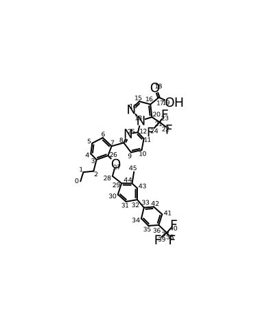 CCCc1cccc(-c2cccc(-n3ncc(C(=O)O)c3C(F)(F)F)n2)c1OCc1ccc(-c2ccc(C(F)(F)F)cc2)cc1C